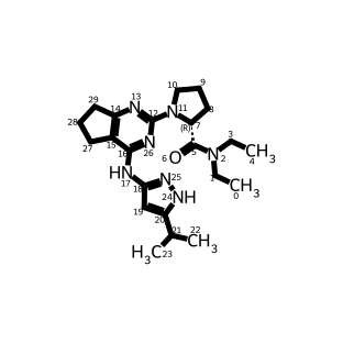 CCN(CC)C(=O)[C@H]1CCCN1c1nc2c(c(Nc3cc(C(C)C)[nH]n3)n1)CCC2